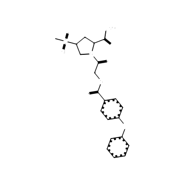 COC(=O)C1CC(S(C)(=N)=O)CN1C(=O)CNC(=O)c1ccc(Oc2ccccc2)cc1